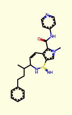 CC(CCc1ccccc1)C1C=Cc2c(cn(C)c2C(=O)Nc2ccncc2)S(=N)N1